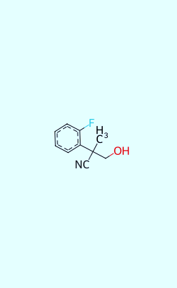 CC(C#N)(CO)c1ccccc1F